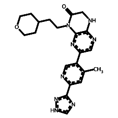 Cc1cc(-c2nc[nH]n2)ncc1-c1cnc2c(n1)N(CCC1CCOCC1)C(=O)CN2